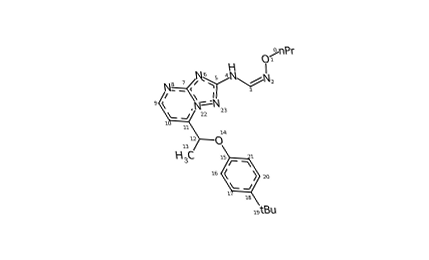 CCCO/N=C\Nc1nc2nccc(C(C)Oc3ccc(C(C)(C)C)cc3)n2n1